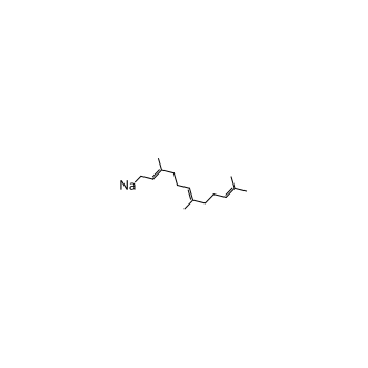 CC(C)=CCCC(C)=CCCC(C)=C[CH2][Na]